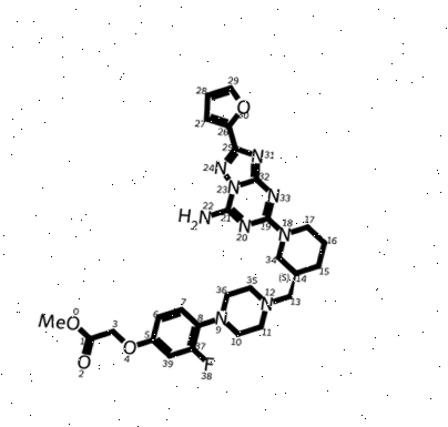 COC(=O)COc1ccc(N2CCN(C[C@@H]3CCCN(c4nc(N)n5nc(-c6ccco6)nc5n4)C3)CC2)c(F)c1